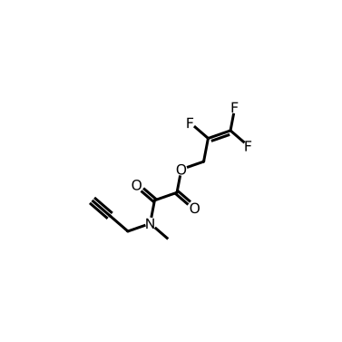 C#CCN(C)C(=O)C(=O)OCC(F)=C(F)F